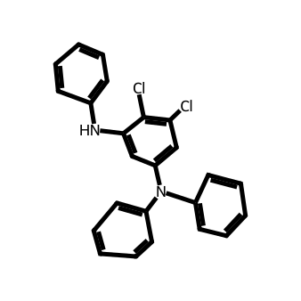 Clc1cc(N(c2ccccc2)c2ccccc2)cc(Nc2ccccc2)c1Cl